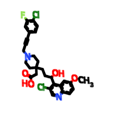 COc1ccc2ncc(Cl)c(C(O)CCC3(CC(=O)O)CCN(CC#Cc4ccc(Cl)c(F)c4)CC3)c2c1